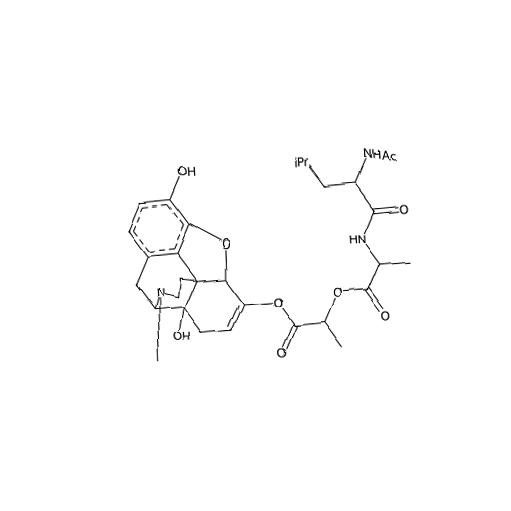 CC(=O)NC(CC(C)C)C(=O)NC(C)C(=O)OC(C)C(=O)OC1=CCC2(O)C3Cc4ccc(O)c5c4C2(CCN3C)C1O5